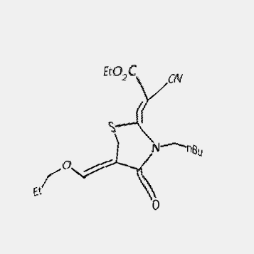 CCCCn1c(=C(C#N)C(=O)OCC)sc(=COCC)c1=O